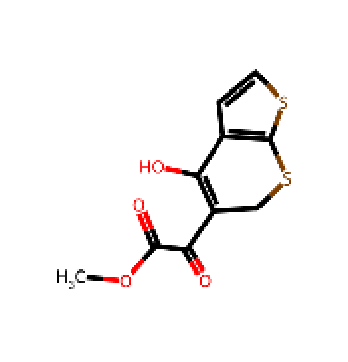 COC(=O)C(=O)C1=C(O)c2ccsc2SC1